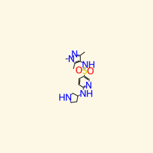 Cc1nn(C)c(C)c1NS(=O)(=O)c1ccc(NC2CCNC2)nc1